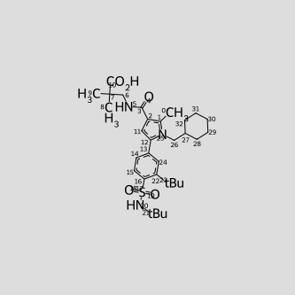 Cc1c(C(=O)NCC(C)(C)C(=O)O)cc(-c2ccc(S(=O)(=O)NC(C)(C)C)c(C(C)(C)C)c2)n1CC1CCCCC1